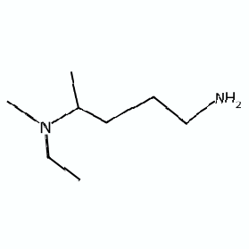 CCN(C)C(C)CCCN